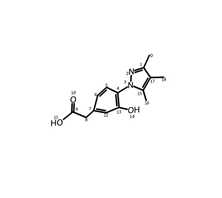 Cc1nn(-c2ccc(CC(=O)O)cc2O)c(C)c1C